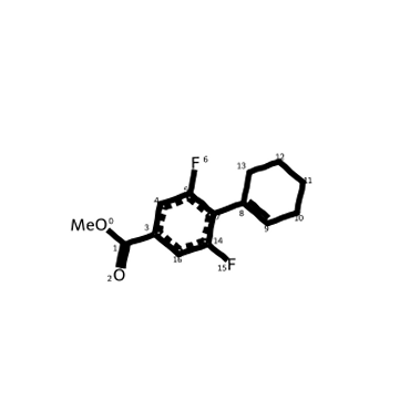 COC(=O)c1cc(F)c(C2=CCCCC2)c(F)c1